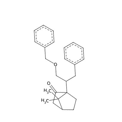 CC1(C)C2CCC1(C(COCc1ccccc1)Cc1ccccc1)C(=O)C2